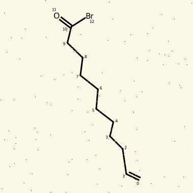 C=CCCCCCCCCC(=O)Br